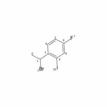 CC(Br)c1ccc(F)cc1I